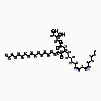 CCCCC/C=C\C/C=C\CCCCCC(CC(=O)OCC(O)CO)C(=O)CCCCCCCCCCCCCCCCC